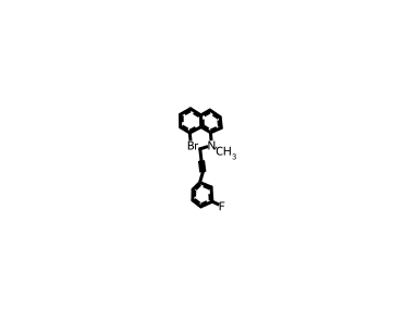 CN(CC#Cc1cccc(F)c1)c1cccc2cccc(Br)c12